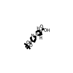 CC1(C)OB(c2ccc(N3C[C@@H]4C[C@H]3CN4C(=O)O)nc2)OC1(C)C